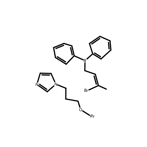 CC(Br)=CCB(c1ccccc1)c1ccccc1.CC(C)OCCCn1ccnc1